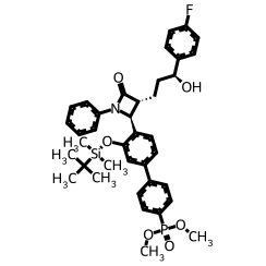 COP(=O)(OC)c1ccc(-c2ccc([C@@H]3[C@@H](CC[C@H](O)c4ccc(F)cc4)C(=O)N3c3ccccc3)c(O[Si](C)(C)C(C)(C)C)c2)cc1